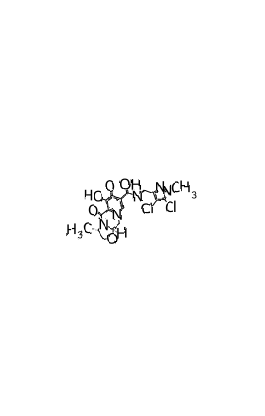 C[C@H]1CO[C@@H]2Cn3cc(C(=O)NCc4nn(C)c(Cl)c4Cl)c(=O)c(O)c3C(=O)N12